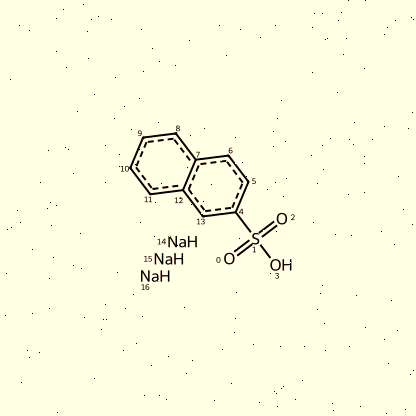 O=S(=O)(O)c1ccc2ccccc2c1.[NaH].[NaH].[NaH]